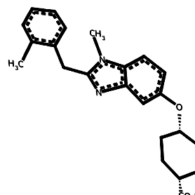 Cc1ccccc1Cc1nc2cc(O[C@H]3CC[C@@H](C(=O)O)CC3)ccc2n1C